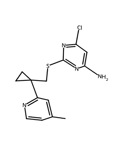 Cc1ccnc(C2(CSc3nc(N)cc(Cl)n3)CC2)c1